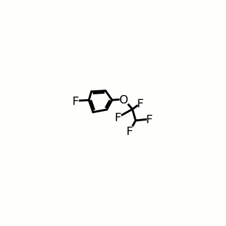 Fc1ccc(OC(F)(F)C(F)F)cc1